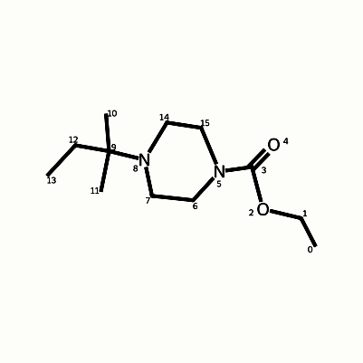 CCOC(=O)N1CCN(C(C)(C)CC)CC1